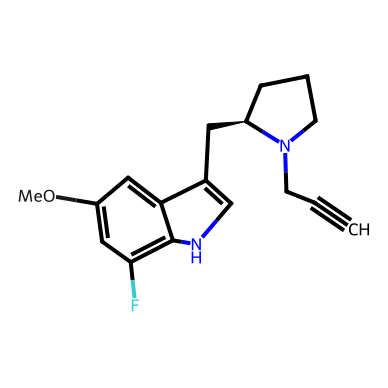 C#CCN1CCC[C@@H]1Cc1c[nH]c2c(F)cc(OC)cc12